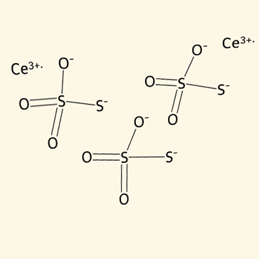 O=S(=O)([O-])[S-].O=S(=O)([O-])[S-].O=S(=O)([O-])[S-].[Ce+3].[Ce+3]